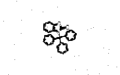 O=c1oc2ccccc2n1C(c1ccccc1)(c1ccccc1)c1ccccc1